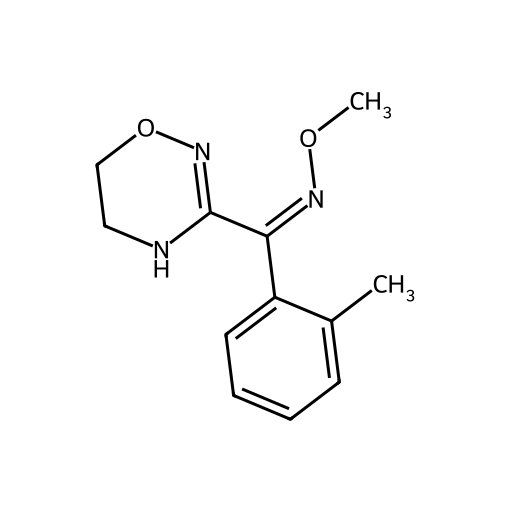 CO/N=C(\C1=NOCCN1)c1ccccc1C